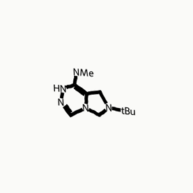 CNC1=C2CN(C(C)(C)C)CN2C=NN1